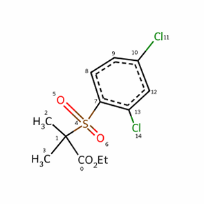 CCOC(=O)C(C)(C)S(=O)(=O)c1ccc(Cl)cc1Cl